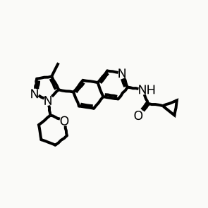 Cc1cnn(C2CCCCO2)c1-c1ccc2cc(NC(=O)C3CC3)ncc2c1